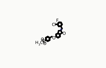 CS(=O)(=O)c1ccc(COc2ccc3c(c2)C/C(=C\c2ccc(F)c(Cl)c2)C3=O)cc1